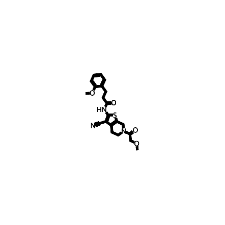 COCC(=O)N1CCc2c(sc(NC(=O)CCc3ccccc3OC)c2C#N)C1